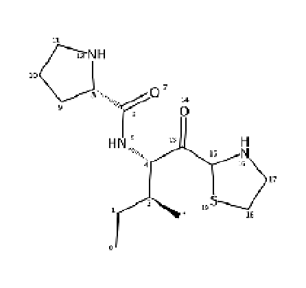 CC[C@H](C)[C@H](NC(=O)[C@@H]1CCCN1)C(=O)C1NCCS1